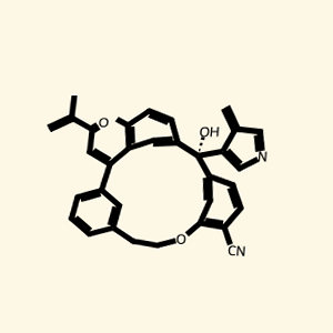 C=C(C)C(=O)/C=C1/c2cccc(c2)CCOc2cc(ccc2C#N)[C@](O)(C2=CN=CC2=C)c2ccc(C)c1c2